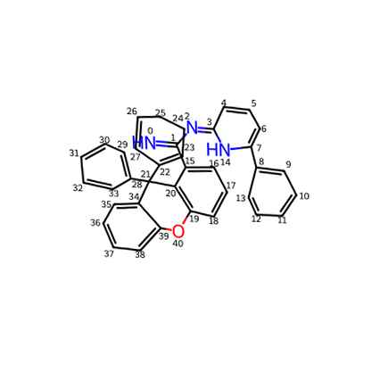 N=C(/N=c1/cccc(-c2ccccc2)[nH]1)c1cccc2c1C(C1=CCCC=C1)(c1ccccc1)c1ccccc1O2